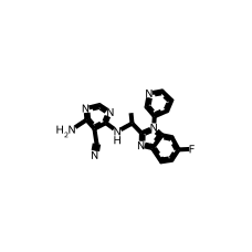 CC(Nc1ncnc(N)c1C#N)c1nc2ccc(F)cc2n1-c1cccnc1